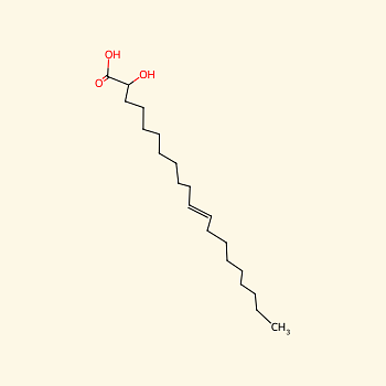 CCCCCCCCC=CCCCCCCCCC(O)C(=O)O